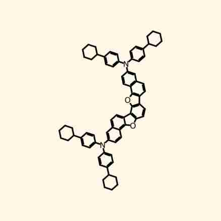 c1cc(N(c2ccc(C3CCCCC3)cc2)c2ccc3c(ccc4c5ccc6oc7c8ccc(N(c9ccc(C%10CCCCC%10)cc9)c9ccc(C%10CCCCC%10)cc9)cc8ccc7c6c5oc34)c2)ccc1C1CCCCC1